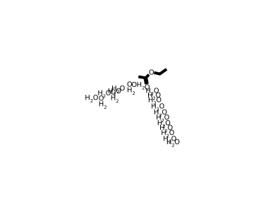 CCOC(C)=O.O.O.O.O.O.O.O.O.O.O.O.O.O.O.O.O.O.O.O